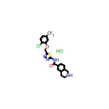 Cl.O=C(Nc1nnc(COc2cc(C(F)(F)F)ccc2Cl)s1)c1ccc2c(c1)CCNC2